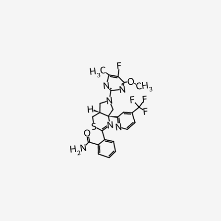 COc1nc(N2C[C@H]3CSC(c4ccccc4C(N)=O)=N[C@@]3(c3cc(C(F)(F)F)ccn3)C2)nc(C)c1F